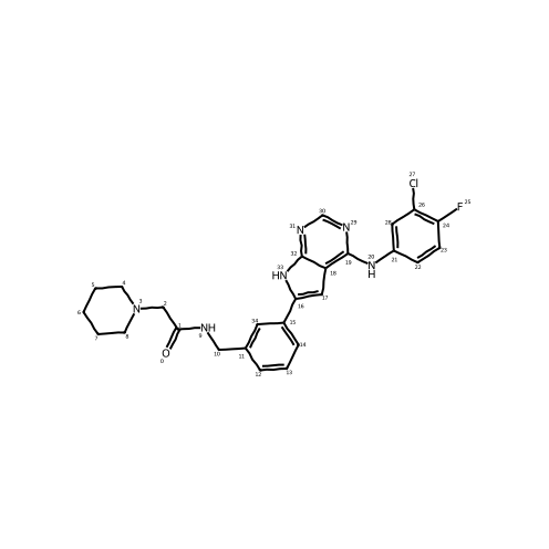 O=C(CN1CCCCC1)NCc1cccc(-c2cc3c(Nc4ccc(F)c(Cl)c4)ncnc3[nH]2)c1